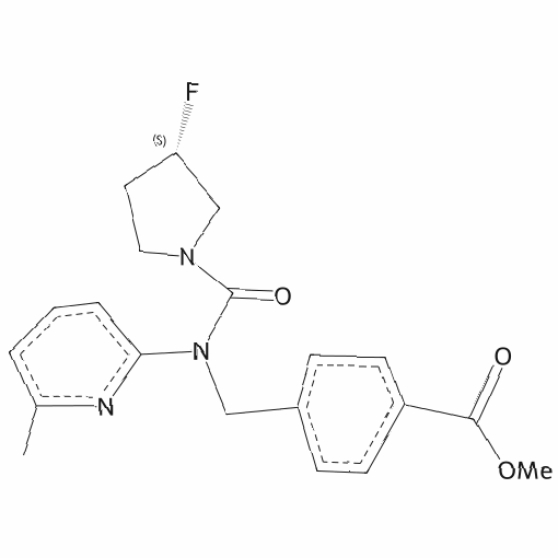 COC(=O)c1ccc(CN(C(=O)N2CC[C@H](F)C2)c2cccc(C)n2)cc1